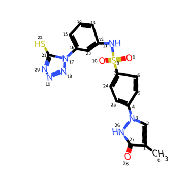 Cc1cn(-c2ccc(S(=O)(=O)Nc3cccc(-n4nnnc4S)c3)cc2)[nH]c1=O